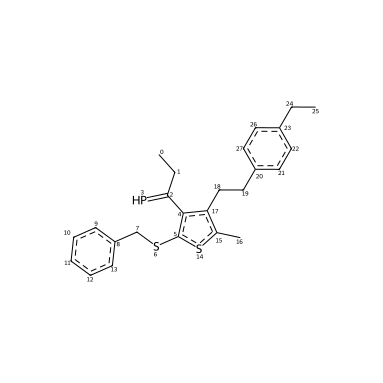 CCC(=P)c1c(SCc2ccccc2)sc(C)c1CCc1ccc(CC)cc1